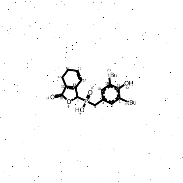 CC(C)(C)c1cc(CP(=O)(O)C2OC(=O)C3=C2C=CCC3)cc(C(C)(C)C)c1O